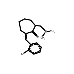 CN(C)CC1CCCC/C(=C/c2ccccc2Cl)C1=O